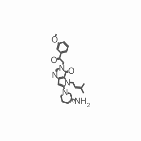 COc1cccc(C(=O)Cn2cnc3cc(N4CCC[C@H](N)C4)n(CC=C(C)C)c3c2=O)c1